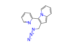 [N-]=[N+]=NCc1cc2ccccn2c1-c1ccccn1